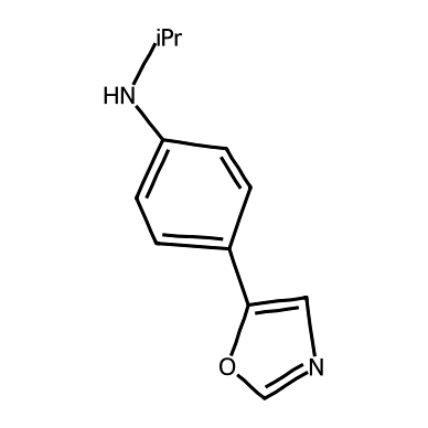 CC(C)Nc1ccc(-c2cnco2)cc1